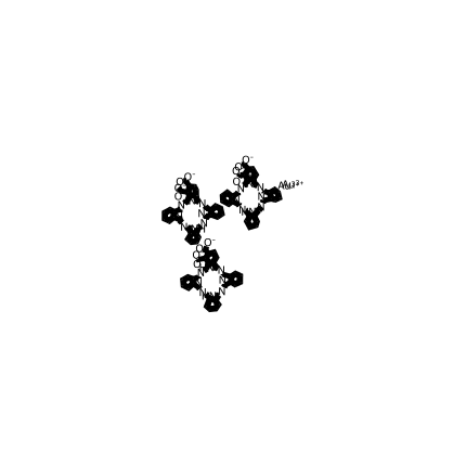 O=C([O-])c1ccc2c3nc4nc(nc5[nH]c(nc6nc(nc([nH]3)c2c1C(=O)[O-])-c1ccccc1-6)c1ccccc51)-c1ccccc1-4.O=C([O-])c1ccc2c3nc4nc(nc5[nH]c(nc6nc(nc([nH]3)c2c1C(=O)[O-])-c1ccccc1-6)c1ccccc51)-c1ccccc1-4.O=C([O-])c1ccc2c3nc4nc(nc5[nH]c(nc6nc(nc([nH]3)c2c1C(=O)[O-])-c1ccccc1-6)c1ccccc51)-c1ccccc1-4.[Au+3].[Au+3]